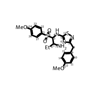 CCC(N)C(Nc1nc(Cc2ccc(OC)cc2)ns1)S(=O)(=O)c1ccc(OC)cc1